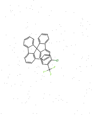 FC(F)(F)c1cc(-c2cccc3c2C2(c4ccccc4-c4ccccc42)c2ccccc2-3)ccc1Cl